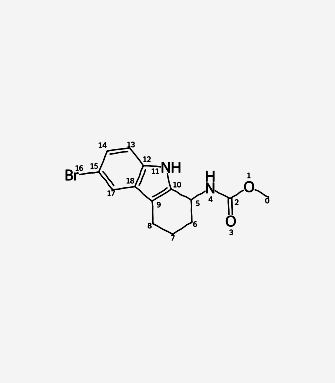 COC(=O)NC1CCCc2c1[nH]c1ccc(Br)cc21